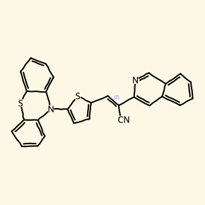 N#C/C(=C\c1ccc(N2c3ccccc3Sc3ccccc32)s1)c1cc2ccccc2cn1